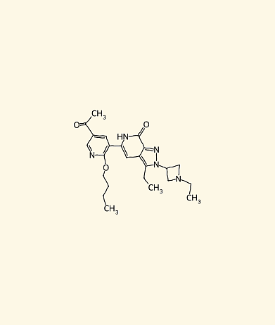 CCCCOc1ncc(C(C)=O)cc1-c1cc2c(CC)n(C3CN(CC)C3)nc2c(=O)[nH]1